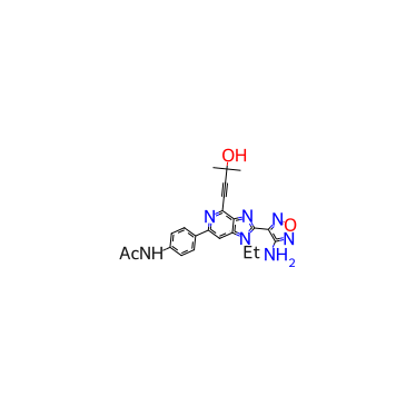 CCn1c(-c2nonc2N)nc2c(C#CC(C)(C)O)nc(-c3ccc(NC(C)=O)cc3)cc21